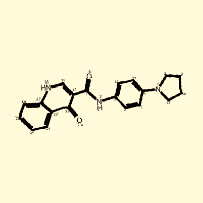 O=C(Nc1ccc(N2CCCC2)cc1)c1c[nH]c2ccccc2c1=O